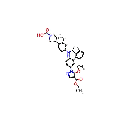 CCOC(=O)c1cnn(-c2cccc(-c3cccc4c3C(Nc3ccc(C5CCN(C(=O)O)CC5)c(CC)c3)CC4)c2)c1OC